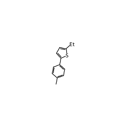 CCc1ccc(-c2ccc(C)cc2)s1